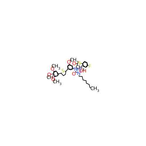 CCCCCCCCN(O)C(=O)Nc1cc(C2CCC(c3cc(OC)c(OC)c(OC)c3)S2)cc(OC)c1OC(C)Sc1ccc(F)cc1